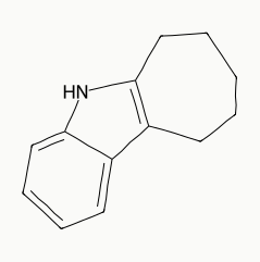 c1ccc2c3c([nH]c2c1)CCCCC3